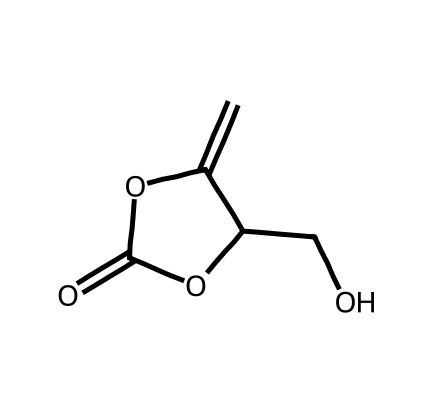 C=C1OC(=O)OC1CO